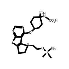 CCC1(NC(=O)O)CCC(Oc2ncnc3sc4c(c23)[C@@H](CCO[Si](C)(C)C(C)(C)C)CC4)CC1